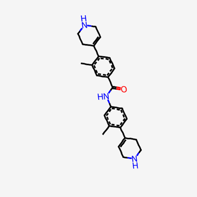 Cc1cc(NC(=O)c2ccc(C3=CCNCC3)c(C)c2)ccc1C1=CCNCC1